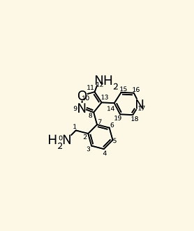 NCc1ccccc1-c1noc(N)c1-c1ccncc1